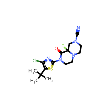 CC(C)(C)c1sc(N2CCN3CCN(C#N)CC3(F)C2=O)nc1Cl